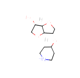 O[C@@H]1CO[C@H]2[C@@H]1OC[C@@H]2OC1CCNCC1